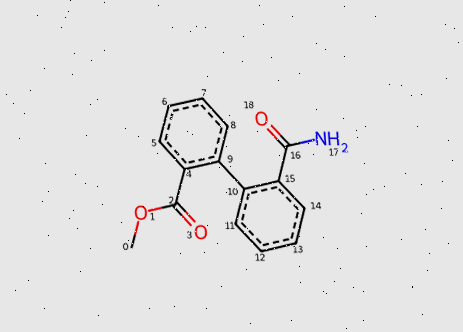 COC(=O)c1ccccc1-c1ccccc1C(N)=O